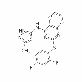 Cc1cc(Nc2nc(Sc3ccc(F)cc3F)nc3ccccc23)[nH]n1